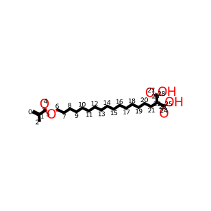 C=C(C)C(=O)OCCCCCCCCCCCCCCCCC(C(=O)O)C(=O)O